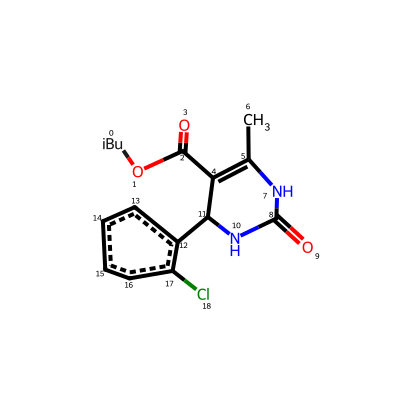 CCC(C)OC(=O)C1=C(C)NC(=O)NC1c1ccccc1Cl